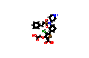 O=C(O)COc1c(C(=O)O)sc(-c2cccc(N(C3CCNCC3)S(=O)(=O)CCc3ccccc3)c2)c1Br